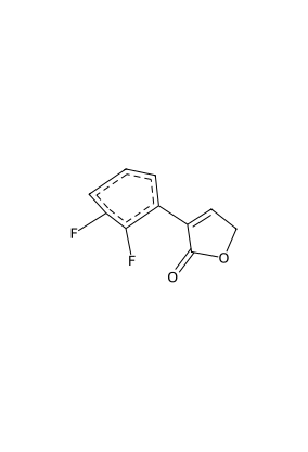 O=C1OCC=C1c1cccc(F)c1F